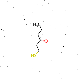 CCCC(=O)CCS